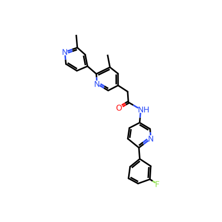 Cc1cc(-c2ncc(CC(=O)Nc3ccc(-c4cccc(F)c4)nc3)cc2C)ccn1